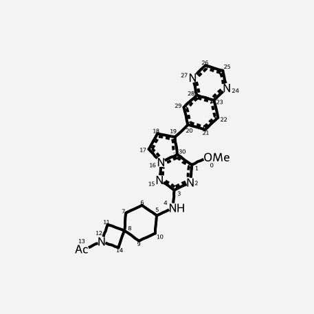 COc1nc(NC2CCC3(CC2)CN(C(C)=O)C3)nn2ccc(-c3ccc4nccnc4c3)c12